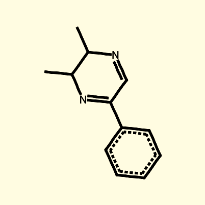 CC1N=CC(c2ccccc2)=NC1C